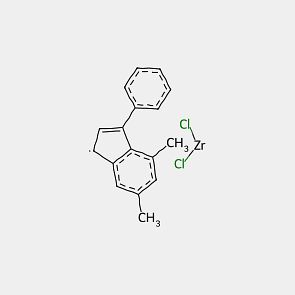 Cc1cc(C)c2c(c1)[CH]C=C2c1ccccc1.[Cl][Zr][Cl]